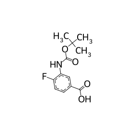 CC(C)(C)OC(=O)Nc1cc(C(=O)O)ccc1F